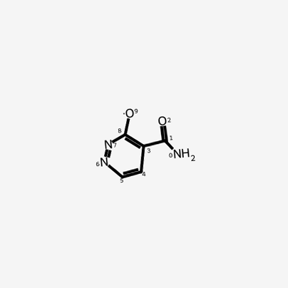 NC(=O)c1ccnnc1[O]